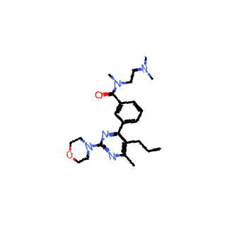 CCCc1c(C)nc(N2CCOCC2)nc1-c1cccc(C(=O)N(C)CCN(C)C)c1